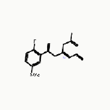 C=C/C=C(\CC(=C)C)CC(=C)c1cc(SC)ccc1F